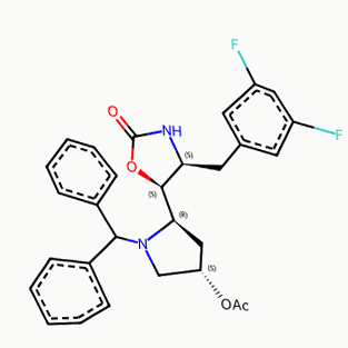 CC(=O)O[C@H]1C[C@H]([C@H]2OC(=O)N[C@H]2Cc2cc(F)cc(F)c2)N(C(c2ccccc2)c2ccccc2)C1